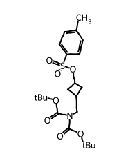 Cc1ccc(S(=O)(=O)OC2CC(CN(C(=O)OC(C)(C)C)C(=O)OC(C)(C)C)C2)cc1